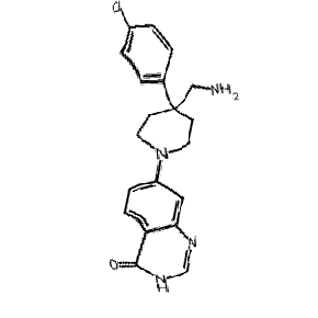 NCC1(c2ccc(Cl)cc2)CCN(c2ccc3c(=O)[nH]cnc3c2)CC1